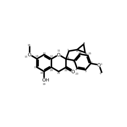 COc1ccc(C2(CC3CC3)Oc3cc(OC)cc(O)c3CC2=O)cc1